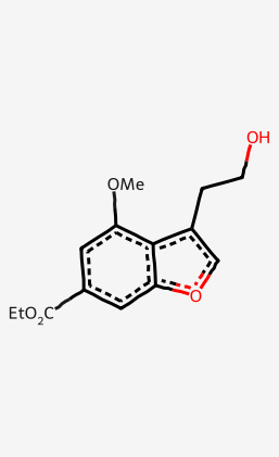 CCOC(=O)c1cc(OC)c2c(CCO)coc2c1